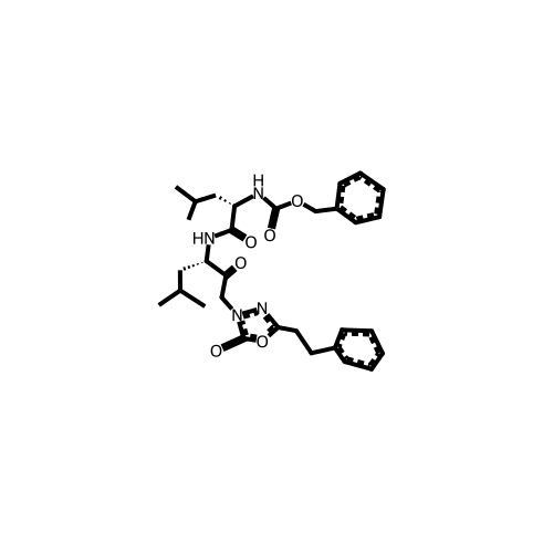 CC(C)C[C@H](NC(=O)[C@H](CC(C)C)NC(=O)OCc1ccccc1)C(=O)Cn1nc(CCc2ccccc2)oc1=O